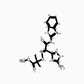 CC(C)(C)OC(=O)C(C)(C)O/N=C(/C(=O)Sc1nc2ccccc2s1)c1nsc(N)n1